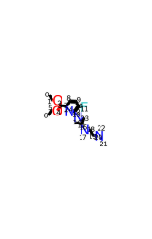 CCOC(OCC)c1ccc(F)c(N2CC(N(C)CCN(C)C)C2)n1